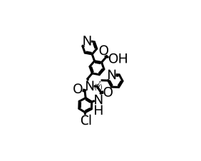 O=C(O)c1ccc(CN2C(=O)c3ccc(Cl)cc3NC(=O)[C@H]2Cc2ccccn2)cc1-c1ccncc1